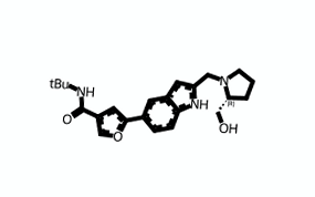 CC(C)(C)NC(=O)c1coc(-c2ccc3[nH]c(CN4CCC[C@@H]4CO)cc3c2)c1